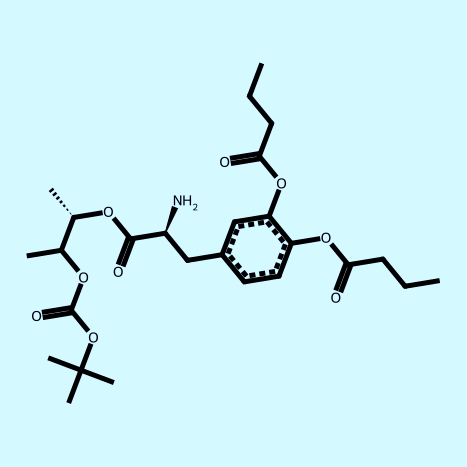 CCCC(=O)Oc1ccc(C[C@H](N)C(=O)O[C@@H](C)C(C)OC(=O)OC(C)(C)C)cc1OC(=O)CCC